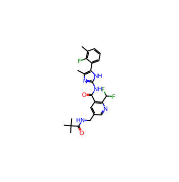 Cc1cccc(-c2[nH]c(NC(=O)c3cc(CNC(=O)C(C)(C)C)cnc3C(F)F)nc2C)c1F